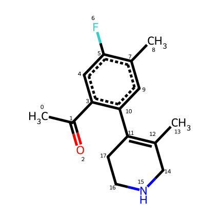 CC(=O)c1cc(F)c(C)cc1C1=C(C)CNCC1